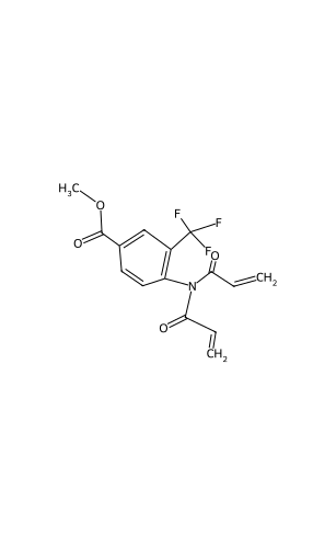 C=CC(=O)N(C(=O)C=C)c1ccc(C(=O)OC)cc1C(F)(F)F